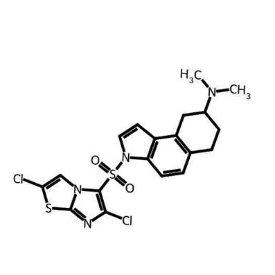 CN(C)C1CCc2ccc3c(ccn3S(=O)(=O)c3c(Cl)nc4sc(Cl)cn34)c2C1